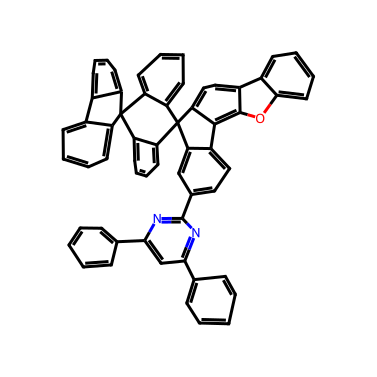 c1ccc(-c2cc(-c3ccccc3)nc(-c3ccc4c(c3)C3(c5ccccc5C5(c6ccccc6-c6ccccc65)c5ccccc53)c3ccc5c(oc6ccccc65)c3-4)n2)cc1